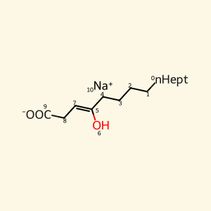 CCCCCCCCCCCC(O)=CCC(=O)[O-].[Na+]